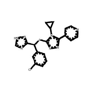 Clc1cccc(C(Sc2nnc(-c3ccncc3)n2C2CC2)c2nc[nH]n2)c1